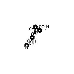 O=C(Nc1ccc(OC2CN(c3cccc(C(=O)O)c3-c3cccc(Cl)c3)C2)cc1)Nc1cccnc1